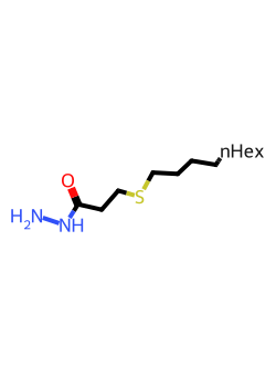 CCCCCCCCCCSCCC(=O)NN